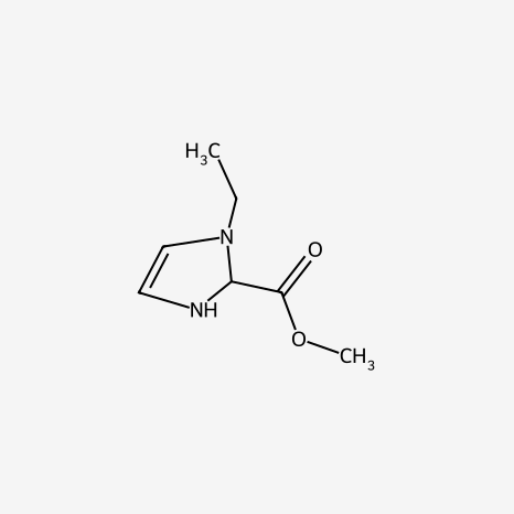 CCN1C=CNC1C(=O)OC